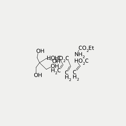 C=CC(=O)O.C=CC(=O)O.C=CC(=O)O.CCOC(N)=O.OCC(CO)(CO)CO